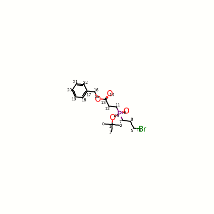 CC(C)(C)OP(=O)(CCCBr)CCC(=O)OCc1ccccc1